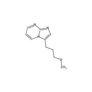 COCCCc1cnc2ncccn12